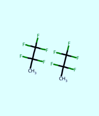 CC(F)(F)C(F)(F)F.CC(F)(F)C(F)(F)F